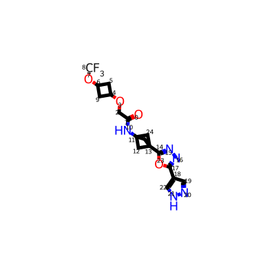 O=C(COC1CC(OC(F)(F)F)C1)NC12CC(c3nnc(-c4cn[nH]c4)o3)(C1)C2